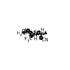 N#Cc1cccc(C(NCC2CC2)c2ccc(F)c(NC(=O)c3cc(C(F)(F)F)nn3-c3ccc4ccnc(OC(N)=O)c4c3)c2)c1